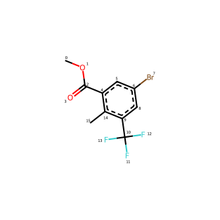 COC(=O)c1cc(Br)cc(C(F)(F)F)c1C